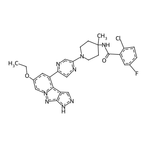 CCOc1cc(-c2cnc(N3CCC(C)(NC(=O)c4cc(F)ccc4Cl)CC3)cn2)c2c3cn[nH]c3nn2c1